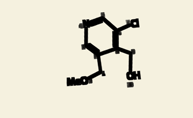 COCc1cncc(Cl)c1CO